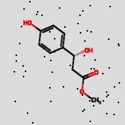 COC(=O)C[C@@H](O)c1ccc(O)cc1